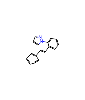 C(=C\c1ccccc1-n1cccn1)/c1ccccc1